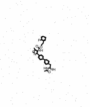 CC(=O)NC(=N)Cc1ccc(-c2ccc(-c3noc(C)c3NC(=O)OCCc3ccccc3F)cc2)cc1